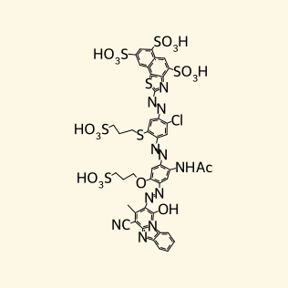 CC(=O)Nc1cc(N=Nc2c(C)c(C#N)c3nc4ccccc4n3c2O)c(OCCCS(=O)(=O)O)cc1N=Nc1cc(Cl)c(N=Nc2nc3c(S(=O)(=O)O)cc4c(S(=O)(=O)O)cc(S(=O)(=O)O)cc4c3s2)cc1SCCCS(=O)(=O)O